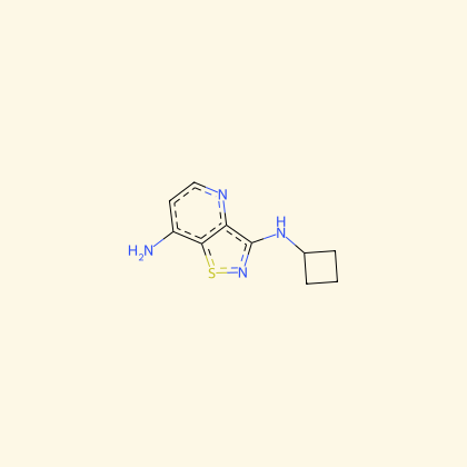 Nc1ccnc2c(NC3CCC3)nsc12